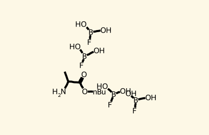 CCCCOC(=O)C(C)N.OB(O)F.OB(O)F.OB(O)F.OB(O)F